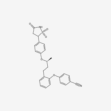 C[C@@H](CCc1ccccc1Oc1ccc(C#N)cc1)Oc1ccc(C2CC(=O)NS2(=O)=O)cc1